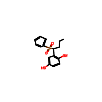 CCCC(c1cc(O)ccc1O)S(=O)(=O)c1ccccc1